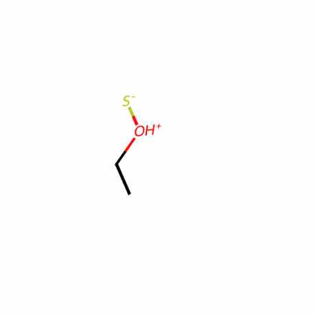 CC[OH+][S-]